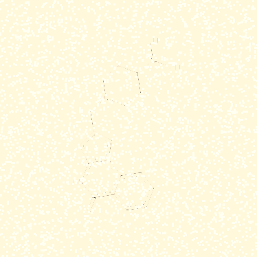 CN(C)C1CCN(Cc2cc3[nH]c(=O)c4ccccc4n3c2)CC1